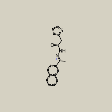 C/C(=N\NC(=O)Cc1cccs1)c1ccc2ccccc2c1